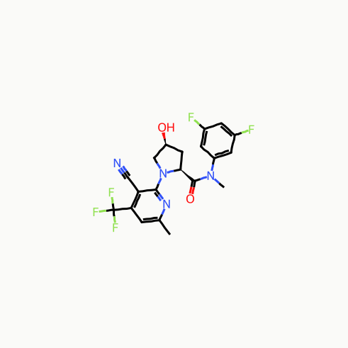 Cc1cc(C(F)(F)F)c(C#N)c(N2C[C@@H](O)C[C@H]2C(=O)N(C)c2cc(F)cc(F)c2)n1